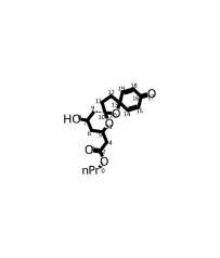 CCCOC(=O)CC1CC(O)C[C@@]2(CCC3(C=CC(=O)C=C3)O2)O1